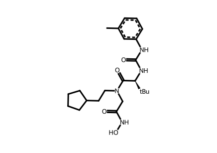 Cc1cccc(NC(=O)N[C@H](C(=O)N(CCC2CCCC2)CC(=O)NO)C(C)(C)C)c1